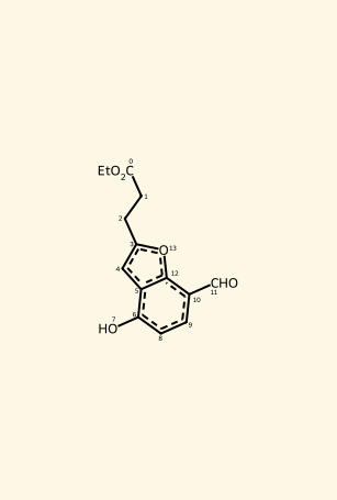 CCOC(=O)CCc1cc2c(O)ccc(C=O)c2o1